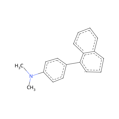 CN(C)c1ccc(-c2[c]ccc3ccccc23)cc1